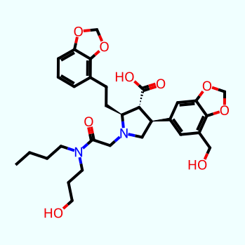 CCCCN(CCCO)C(=O)CN1C[C@H](c2cc(CO)c3c(c2)OCO3)[C@@H](C(=O)O)[C@@H]1CCc1cccc2c1OCO2